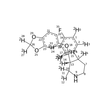 [2H]c1c([2H])c(C2([2H])CCNC([2H])([2H])[C@]2([2H])C([2H])([2H])Oc2ccc3c(c2)OC([2H])([2H])O3)c([2H])c([2H])c1F